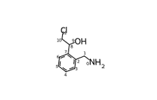 NCc1ccccc1C(O)CCl